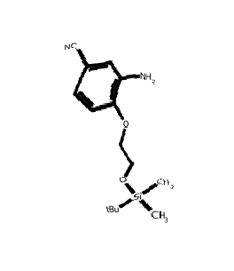 CC(C)(C)[Si](C)(C)OCCOc1ccc(C#N)cc1N